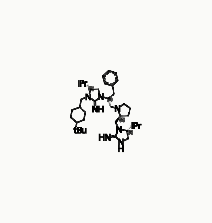 CC(C)[C@@H]1CNC(=N)N1C[C@@H]1CCCN1C[C@@H](Cc1ccccc1)N1C[C@@H](C(C)C)N(CC2CCC(C(C)(C)C)CC2)C1=N